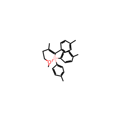 CC1=C(c2ccc(C)cc2)[B-](c2ccc(C)cc2)(c2ccc(C)cc2)[O+](C)CC1